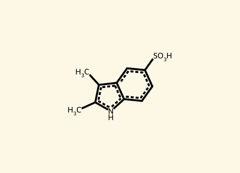 Cc1[nH]c2ccc(S(=O)(=O)O)cc2c1C